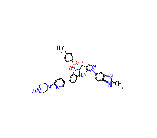 Cc1ccc(S(=O)(=O)N2c3cc(-c4ccc(N5CCNCC5)nc4)ccc3CC2C(=O)c2cnn(-c3ccc4[nH]c(C)nc4c3)c2N)cc1